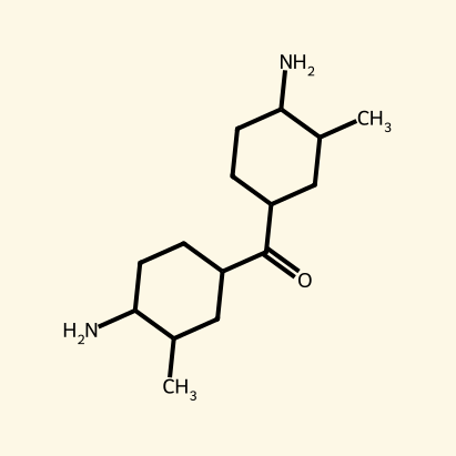 CC1CC(C(=O)C2CCC(N)C(C)C2)CCC1N